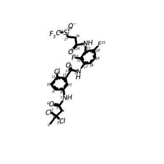 CC(Cl)(Cl)CC(=O)Nc1ccc(Cl)c(C(=O)Nc2ccc(F)c(NC(=O)CC[S+]([O-])C(F)(F)F)c2F)c1